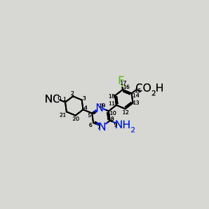 N#CC1CCC(c2cnc(N)c(-c3ccc(C(=O)O)c(F)c3)n2)CC1